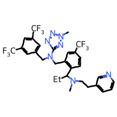 CCC(c1ccc(C(F)(F)F)cc1CN(Cc1cc(C(F)(F)F)cc(C(F)(F)F)c1)c1nnn(C)n1)N(C)CCc1cccnc1